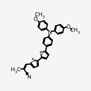 COc1ccc(N(c2ccc(OC)cc2)c2ccc(-c3ccc(-c4ccc(/C=C(/C)C#N)s4)s3)cc2)cc1